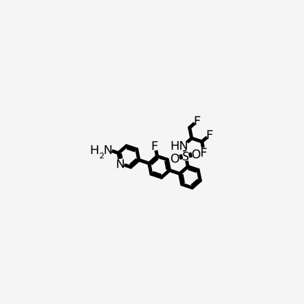 Nc1ccc(-c2ccc(-c3ccccc3S(=O)(=O)NC(CF)C(F)F)cc2F)cn1